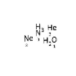 N.O.[He].[Ne]